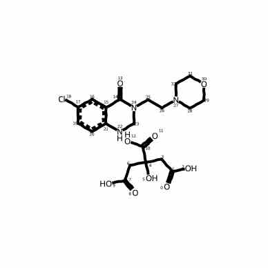 O=C(O)CC(O)(CC(=O)O)C(=O)O.O=C1c2cc(Cl)ccc2NCN1CCN1CCOCC1